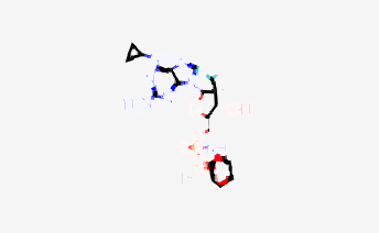 CC(C)OC(=O)[C@H](C)NP(=O)(OC[C@H]1O[C@@H](n2cnc3c(NC4CC4)nc(N)nc32)[C@@](Cl)(C(F)F)[C@@H]1O)Oc1ccccc1